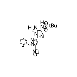 CC(C)(C)S(=O)(=O)Nc1cnc(-c2cc(-c3ccon3)n(Cc3ccccc3F)n2)nc1N